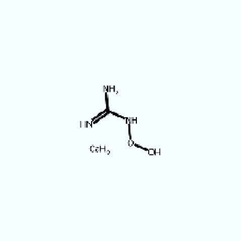 N=C(N)NOO.[CaH2]